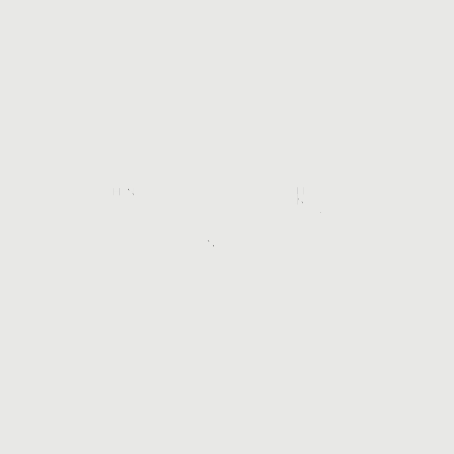 CN(c1ccc(N)cc1)c1ccc(NC(C)(C)C)cc1